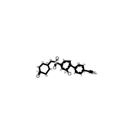 N#Cc1ccc(-c2ccc(S(=O)(=O)CC3CCC(=O)CC3)cc2Cl)cc1